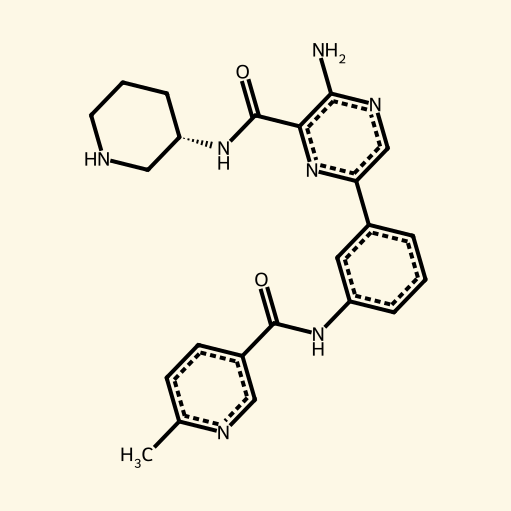 Cc1ccc(C(=O)Nc2cccc(-c3cnc(N)c(C(=O)N[C@H]4CCCNC4)n3)c2)cn1